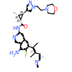 C=N/C=C\C(C)=C(/C)c1cc2cc(NC(=O)[C@@H]3[C@H](C)[C@H]3c3cnn(CCN4CCOCC4)c3)ncc2c(N)c1F